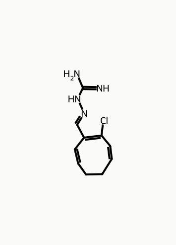 N=C(N)N/N=C/C1=C(Cl)/C=C\CCC=C1